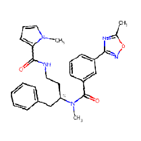 Cc1nc(-c2cccc(C(=O)N(C)[C@H](CCNC(=O)c3cccn3C)Cc3ccccc3)c2)no1